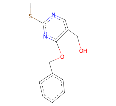 CSc1ncc(CO)c(OCc2ccccc2)n1